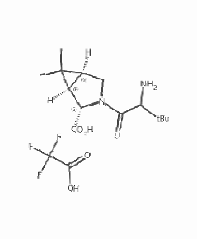 CC(C)(C)C(N)C(=O)N1C[C@H]2[C@@H]([C@H]1C(=O)O)C2(C)C.O=C(O)C(F)(F)F